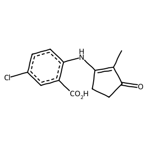 CC1=C(Nc2ccc(Cl)cc2C(=O)O)CCC1=O